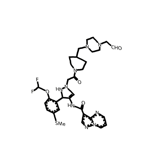 CSc1ccc(OC(F)F)c(C2NN(CC(=O)N3CCC(CN4CCN(CC=O)CC4)CC3)C=C2NC(=O)c2cnn3cccnc23)c1